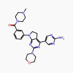 CN1CCN(C(=O)c2cccc(N3CCc4c(-c5cnc(N)nc5)nc(N5CCOCC5)nc43)c2)CC1